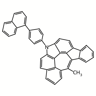 Cc1c2c3ccccc3c3ccc4c(c3-2)c2c3c(cccc13)ccc2n4-c1ccc(-c2cccc3ccccc23)cc1